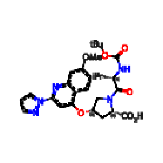 COc1ccc2c(O[C@H]3C[C@@H](C(=O)O)N(C(=O)[C@@H](NC(=O)OC(C)(C)C)C(C)C)C3)cc(-n3cccn3)nc2c1